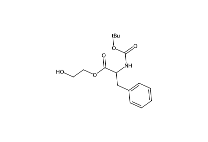 CC(C)(C)OC(=O)NC(Cc1ccccc1)C(=O)OCCO